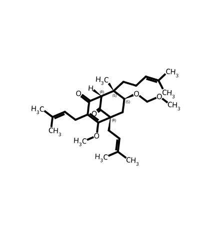 COCO[C@H]1C[C@@]2(CC=C(C)C)C(=O)[C@H](C(=O)C(CC=C(C)C)=C2OC)[C@]1(C)CCC=C(C)C